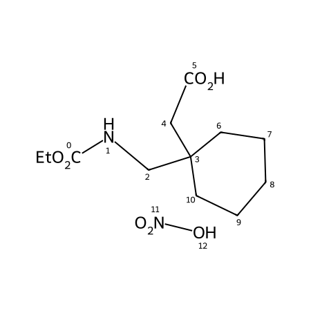 CCOC(=O)NCC1(CC(=O)O)CCCCC1.O=[N+]([O-])O